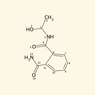 CC(O)NC(=O)c1ccccc1C(N)=O